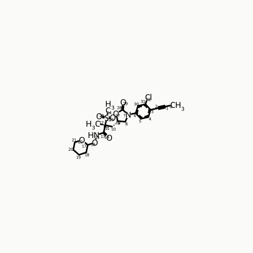 CC#Cc1ccc(N2C[C@H](C[C@](C)(C(=O)NOC3CCCCO3)S(C)(=O)=O)OC2=O)cc1Cl